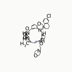 C[C@H]1C/C=C/[C@H](OCCN2CCOCC2)[C@@H]2CC[C@H]2CN2C[C@@]3(CCCc4cc(Cl)ccc43)COc3ccc(cc32)C(=O)NS(=O)(=O)N1